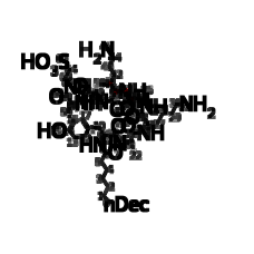 CCCCCCCCCCCCCCCC(=O)N[C@@H](Cc1ccc(O)cc1)C(=O)N[C@@H](C)C(=O)N[C@@H](CCCCN)C(=O)N[C@@H](C)C(=O)N[C@@H](CCCCN)C(=O)N[C@@H](CCCCN)C(=O)N[C@@H](C)C(=O)NCCS(=O)(=O)O